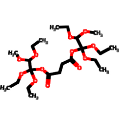 CCOC(OC)C(OCC)(OCC)OC(=O)CCC(=O)OC(OCC)(OCC)C(OC)OCC